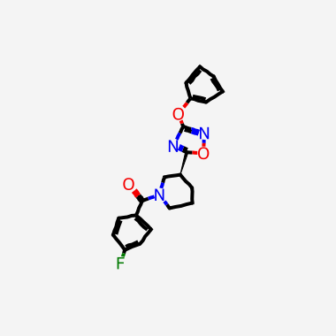 O=C(c1ccc(F)cc1)N1CCC[C@H](c2nc(Oc3ccccc3)no2)C1